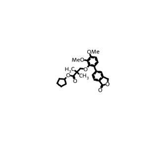 COc1ccc(-c2ccc3c(c2)COC3=O)c(OCC(C)(C)C(=O)OC2CCCC2)c1OC